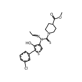 CC=NN(C(=S)N1CCC(C(=O)OC)CC1)c1csc(-c2cccc(Cl)c2)c1O